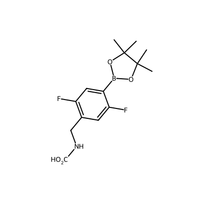 CC1(C)OB(c2cc(F)c(CNC(=O)O)cc2F)OC1(C)C